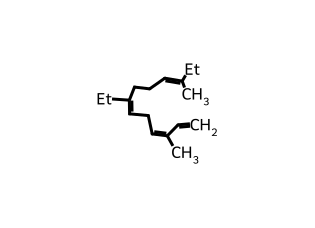 C=CC(C)=CCC=C(CC)CCC=C(C)CC